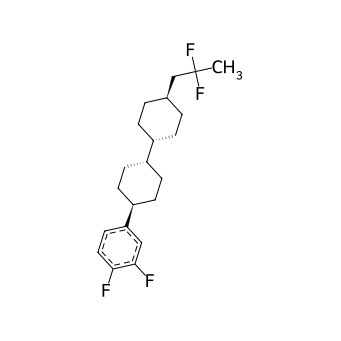 CC(F)(F)C[C@H]1CC[C@H]([C@H]2CC[C@H](c3ccc(F)c(F)c3)CC2)CC1